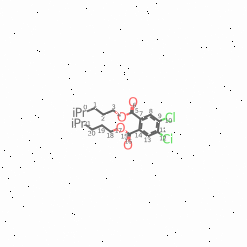 CC(C)CCCOC(=O)c1cc(Cl)c(Cl)cc1C(=O)OCCCC(C)C